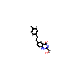 Cc1ccc(CCc2ccc3[nH]c(CO)nc(=O)c3c2)cc1